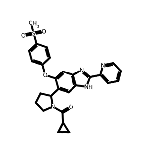 CS(=O)(=O)c1ccc(Oc2cc3nc(-c4ccccn4)[nH]c3cc2C2CCCN2C(=O)C2CC2)cc1